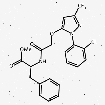 COC(=O)[C@H](Cc1ccccc1)NC(=O)COc1cc(C(F)(F)F)nn1-c1ccccc1Cl